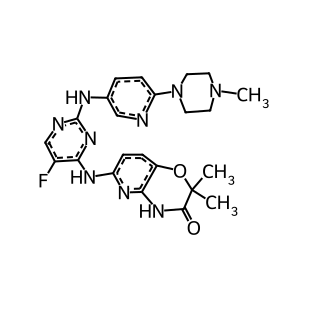 CN1CCN(c2ccc(Nc3ncc(F)c(Nc4ccc5c(n4)NC(=O)C(C)(C)O5)n3)cn2)CC1